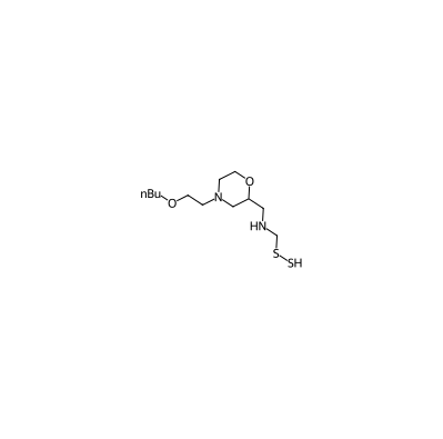 CCCCOCCN1CCOC(CNCSS)C1